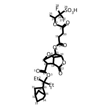 CCC(CC)(OC(=O)C1C2OC3C(OC(=O)C31)C2OC(=O)CCC(=O)OC(C)C(F)(F)S(=O)(=O)O)C1CC2CCC1C2